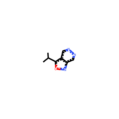 CC(C)c1onc2cnncc12